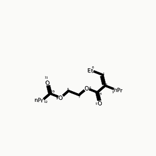 CCC=C(CCC)C(=O)OCCOC(=O)CCC